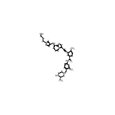 Cc1ccc(C(=O)Nc2ccc(CN3CCN[C@H](C)C3)c(C(F)(F)F)c2)cc1C#Cc1cnc2c(Nc3cnn(CCCO)c3)cccn12